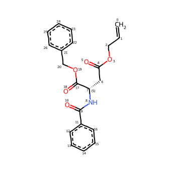 C=CCOC(=O)C[C@H](NC(=O)c1ccccc1)C(=O)OCc1ccccc1